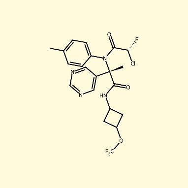 Cc1ccc(N(C(=O)[C@H](F)Cl)[C@](C)(C(=O)NC2CC(OC(F)(F)F)C2)c2cncnc2)cc1